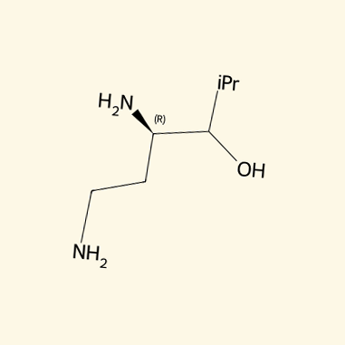 CC(C)C(O)[C@H](N)CCN